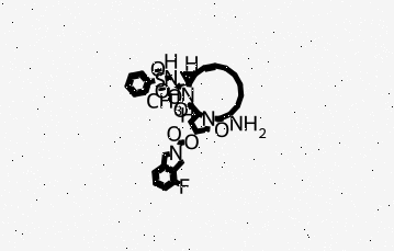 Cc1ccccc1S(=O)(=O)NC(=O)[C@@]12C[C@H]1/C=C\CCCCCC(N)C(=O)N1C[C@H](OC(=O)N3Cc4cccc(F)c4C3)C[C@H]1C(=O)N2